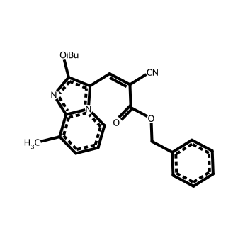 Cc1cccn2c(/C=C(/C#N)C(=O)OCc3ccccc3)c(OCC(C)C)nc12